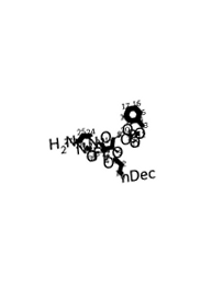 CCCCCCCCCCCCC(=O)O[C@@H]1[C@@H](COP2(=O)OCc3ccccc3O2)O[C@@H](n2ccc(N)nc2=O)C1(F)F